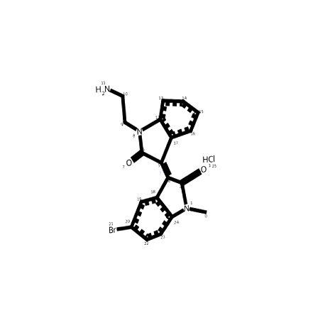 CN1C(=O)/C(=C2/C(=O)N(CCN)c3ccccc32)c2cc(Br)ccc21.Cl